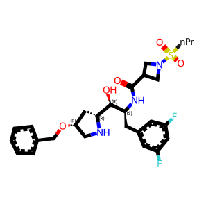 CCCS(=O)(=O)N1CC(C(=O)N[C@@H](Cc2cc(F)cc(F)c2)[C@H](O)[C@H]2C[C@@H](OCc3ccccc3)CN2)C1